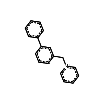 [c]1ccc(-c2ccccc2)cc1C[n+]1ccccc1